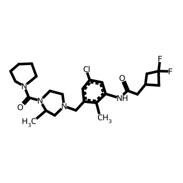 Cc1c(CN2CCN(C(=O)N3CCCCC3)C(C)C2)cc(Cl)cc1NC(=O)CC1CC(F)(F)C1